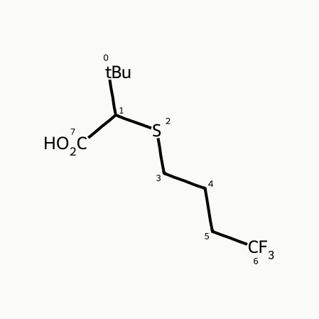 CC(C)(C)C(SCCCC(F)(F)F)C(=O)O